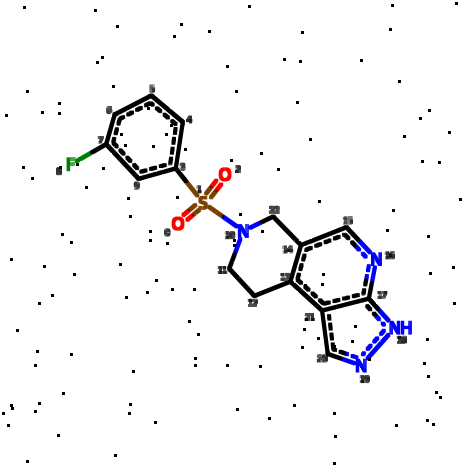 O=S(=O)(c1cccc(F)c1)N1CCc2c(cnc3[nH]ncc23)C1